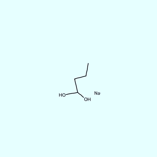 CCCC(O)O.[Na]